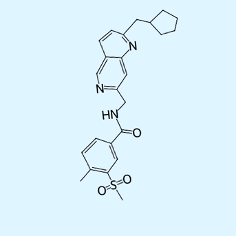 Cc1ccc(C(=O)NCc2cc3nc(CC4CCCC4)ccc3cn2)cc1S(C)(=O)=O